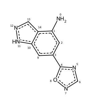 Nc1cc(-c2ncno2)cc2[nH]ncc12